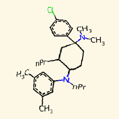 CCCC1CC(c2ccc(Cl)cc2)(N(C)C)CCC1N(CCC)c1cc(C)cc(C)c1